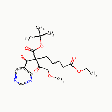 CCOC(=O)CCCCC(C(=O)COC)(C(=O)OC(C)(C)C)C(=O)c1cncnc1